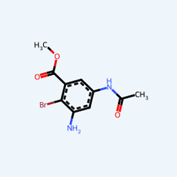 COC(=O)c1cc(NC(C)=O)cc(N)c1Br